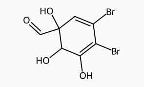 O=CC1(O)C=C(Br)C(Br)=C(O)C1O